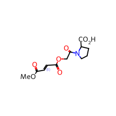 COC(=O)/C=C/C(=O)OCC(=O)N1CCCC1C(=O)O